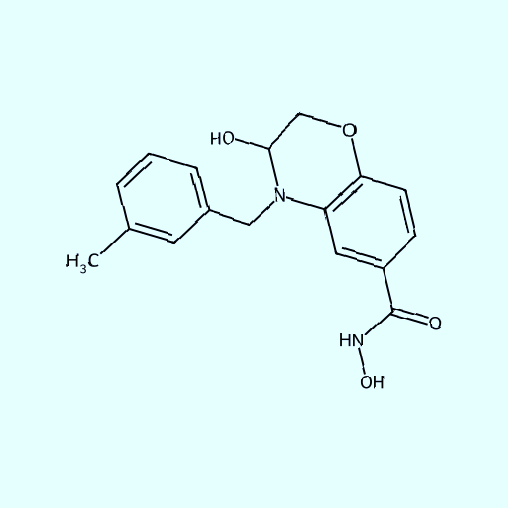 Cc1cccc(CN2c3cc(C(=O)NO)ccc3OCC2O)c1